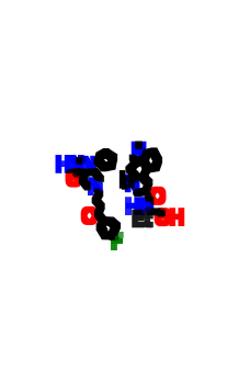 CC[C@@H](CO)NC(=O)[C@@H]1C=C2c3cccc4c3c(cn4C)C[C@H]2N(C)C1.O=C(CCCN1CCC2(CC1)C(=O)NCN2c1ccccc1)c1ccc(F)cc1